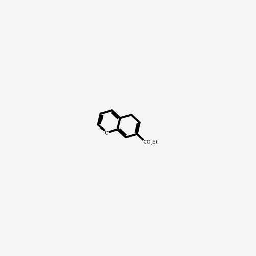 CCOC(=O)C1=CCC2=CC=COC2=C1